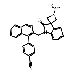 C[S+]([O-])N1CC2(C1)C(=O)N(Cc1ncc3ccccc3c1-c1ccc(C#N)cc1)c1ccccc12